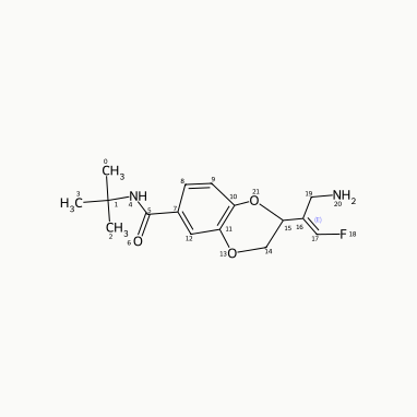 CC(C)(C)NC(=O)c1ccc2c(c1)OCC(/C(=C/F)CN)O2